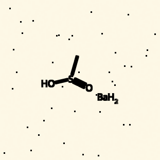 CS(=O)O.[BaH2]